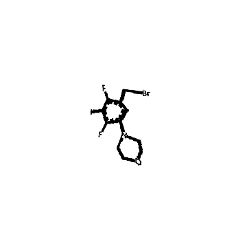 Fc1c(CBr)cc(N2CCOCC2)c(F)c1I